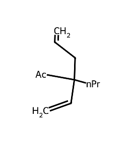 C=CCC(C=C)(CCC)C(C)=O